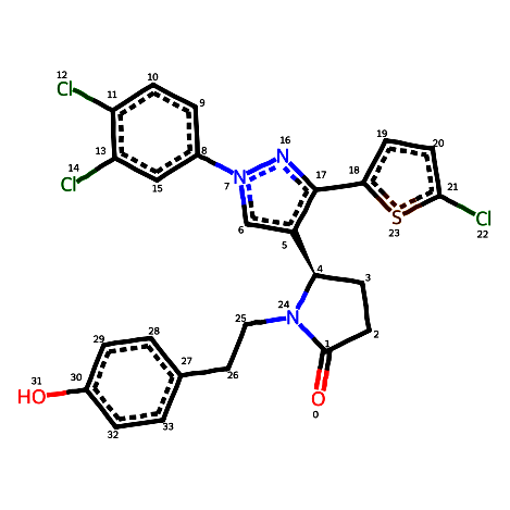 O=C1CC[C@H](c2cn(-c3ccc(Cl)c(Cl)c3)nc2-c2ccc(Cl)s2)N1CCc1ccc(O)cc1